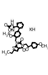 CCc1cc2c(=O)n(CC(=O)c3ccc(OC)cc3)c(=O)n(Cc3ccc(-c4ccccc4-c4noc(=O)[nH]4)cc3OC)c2s1.[KH]